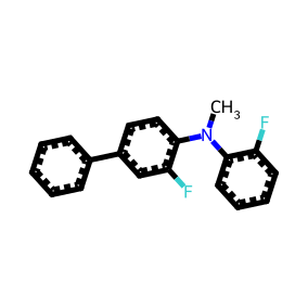 CN(c1ccccc1F)c1ccc(-c2ccccc2)cc1F